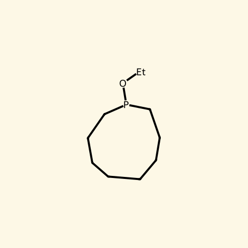 CCOP1CCCCCCCC1